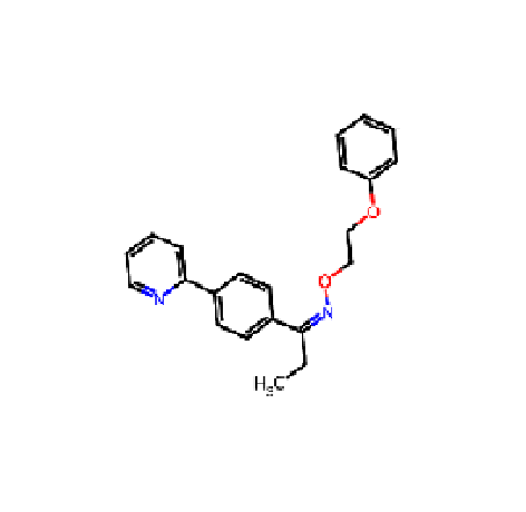 CCC(=NOCCOc1c[c]ccc1)c1ccc(-c2ccccn2)cc1